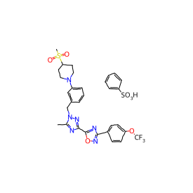 Cc1nc(-c2nc(-c3ccc(OC(F)(F)F)cc3)no2)nn1Cc1cccc(N2CCC(S(C)(=O)=O)CC2)c1.O=S(=O)(O)c1ccccc1